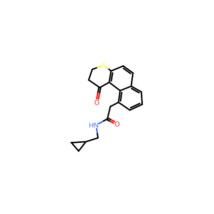 O=C(Cc1cccc2ccc3c(c12)C(=O)CCS3)NCC1CC1